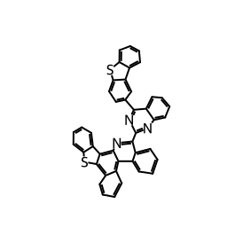 c1ccc2c(-c3ccc4sc5ccccc5c4c3)nc(-c3nc4c(c5ccccc35)c3ccccc3c3sc5ccccc5c43)nc2c1